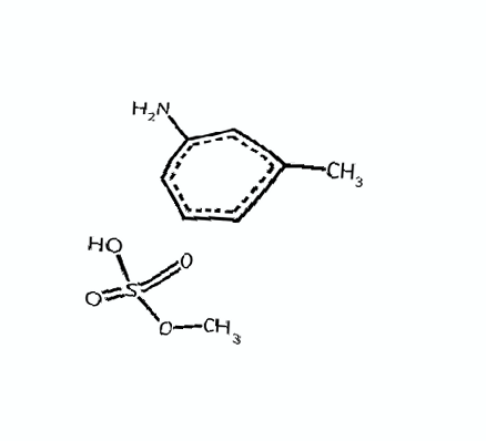 COS(=O)(=O)O.Cc1cccc(N)c1